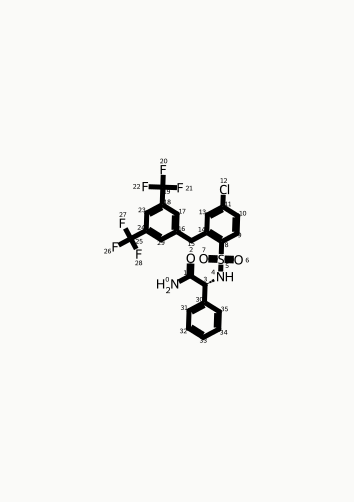 NC(=O)[C@H](NS(=O)(=O)c1ccc(Cl)cc1Cc1cc(C(F)(F)F)cc(C(F)(F)F)c1)c1ccccc1